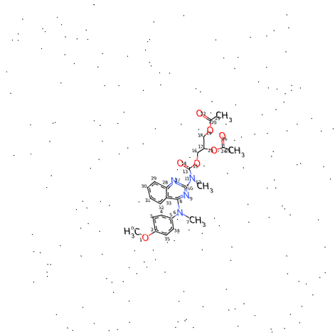 COc1ccc(N(C)c2nc(N(C)C(=O)OCC(COC(C)=O)OC(C)=O)nc3ccccc23)cc1